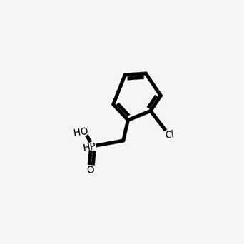 O=[PH](O)Cc1ccccc1Cl